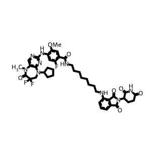 COc1cc(C(=O)NCCCCCCCCNc2cccc3c2C(=O)N(C2CCC(=O)NC2=O)C3=O)c(F)cc1Nc1ncc2c(n1)N(C1CCCC1)CC(F)(F)C(=O)N2C